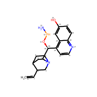 C=CC1CN2CCC1CC2[C@@H](OPN)c1ccnc2ccc(O)cc12